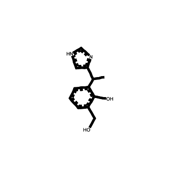 CC(c1c[nH]cn1)c1cccc(CO)c1O